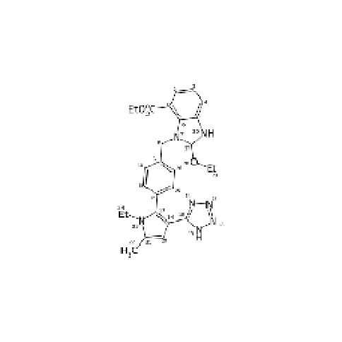 CCOC(=O)c1cccc2c1N(Cc1ccc(-c3c(-c4nnn[nH]4)cc(C)n3CC)cc1)C(OCC)N2